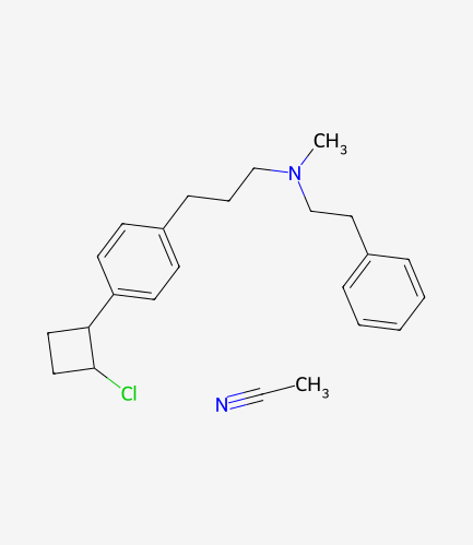 CC#N.CN(CCCc1ccc(C2CCC2Cl)cc1)CCc1ccccc1